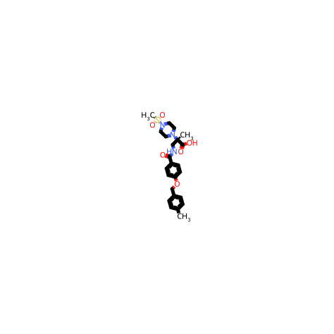 Cc1ccc(COc2ccc(C(=O)NC[C@@](C)(C(=O)O)N3CCN(S(C)(=O)=O)CC3)cc2)cc1